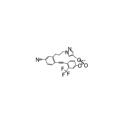 Cc1cnn(CCCc2cc(C#N)ccc2C#Cc2ccc(OS(C)(=O)=O)cc2C(F)(F)F)c1